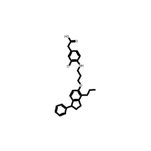 CCCc1c(OCCCNc2ccc(CC(=O)O)cc2Cl)ccc2c1CCC2c1ccccc1